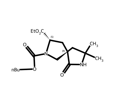 CCCCOC(=O)N1C[C@@]2(C[C@H]1C(=O)OCC)CC(C)(C)NC2=O